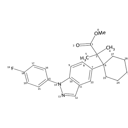 COC(=O)C(C)(C)C1(c2ccc3c(cnn3-c3ccc(F)cc3)c2)CCCCC1